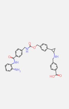 Nc1ccccc1NC(=O)c1ccc(CNC(=O)OCc2ccc(C3CC3NCc3ccc(C(=O)O)cc3)cc2)cc1